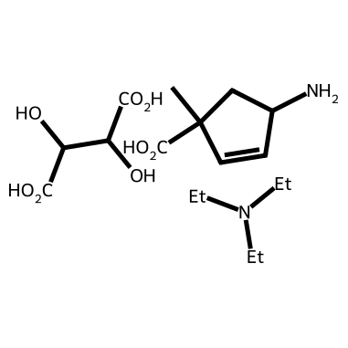 CC1(C(=O)O)C=CC(N)C1.CCN(CC)CC.O=C(O)C(O)C(O)C(=O)O